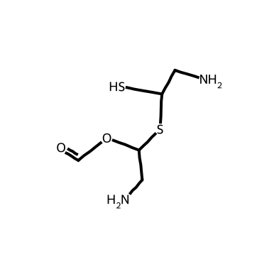 NCC(S)SC(CN)OC=O